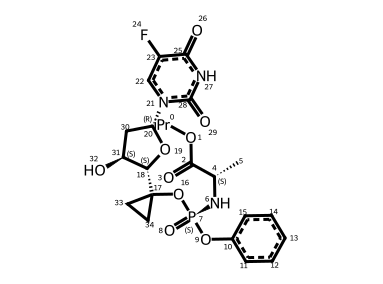 CC(C)OC(=O)[C@H](C)N[P@](=O)(Oc1ccccc1)OC1([C@H]2O[C@@H](n3cc(F)c(=O)[nH]c3=O)C[C@@H]2O)CC1